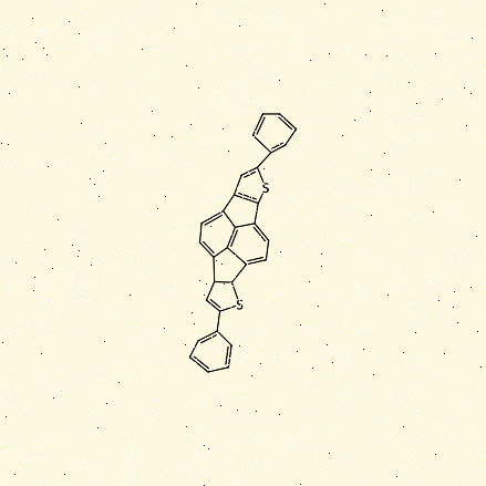 C1=C(c2ccccc2)SC2c3ccc4c5c(ccc(c35)C12)-c1cc(-c2ccccc2)sc1-4